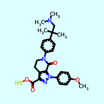 COc1ccc(-n2nc(C(=O)OS)c3c2C(=O)N(c2ccc(C(C)(C)CN(C)C)cc2)CC3)cc1